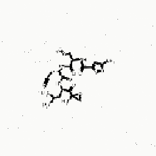 COCC(NC(=O)c1cc(C)on1)C(=O)N[C@@H](CC#N)C(=O)NC(CC(C)C)C(=O)C1(C)CO1